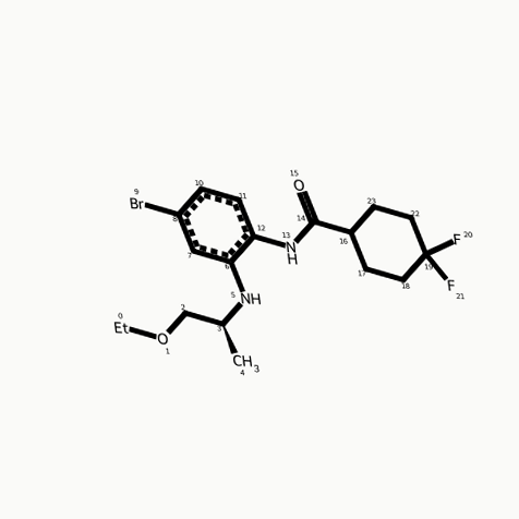 CCOC[C@H](C)Nc1cc(Br)ccc1NC(=O)C1CCC(F)(F)CC1